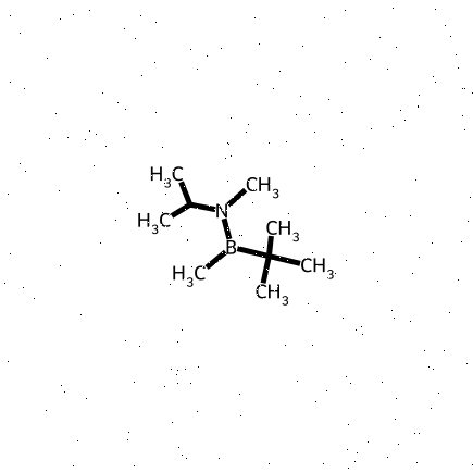 CB(N(C)C(C)C)C(C)(C)C